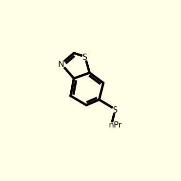 CCCSc1ccc2ncsc2c1